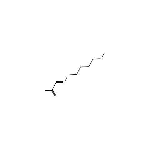 CNCCCCON=CC(C)=O